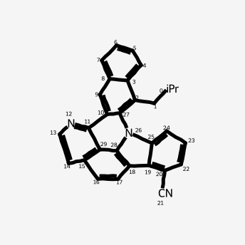 CC(C)Cc1c2ccccc2cc2c3nccc4ccc5c6c(C#N)cccc6n(c12)c5c43